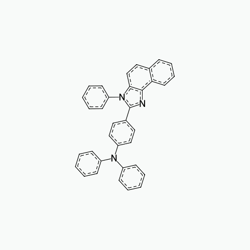 c1ccc(N(c2ccccc2)c2ccc(-c3nc4c5ccccc5ccc4n3-c3ccccc3)cc2)cc1